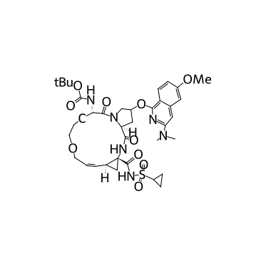 COc1ccc2c(OC3C[C@H]4C(=O)N[C@]5(C(=O)NS(=O)(=O)C6CC6)C[C@H]5/C=C\COCCC[C@H](NC(=O)OC(C)(C)C)C(=O)N4C3)nc(N(C)C)cc2c1